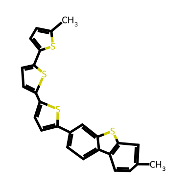 Cc1ccc2c(c1)sc1cc(-c3ccc(-c4ccc(-c5ccc(C)s5)s4)s3)ccc12